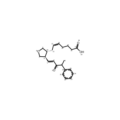 CC(C(=O)/C=C/[C@H]1COC[C@@H]1C/C=C\CCCC(=O)O)c1ccccc1